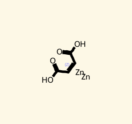 O=C(O)/C=C\C(=O)O.[Zn].[Zn]